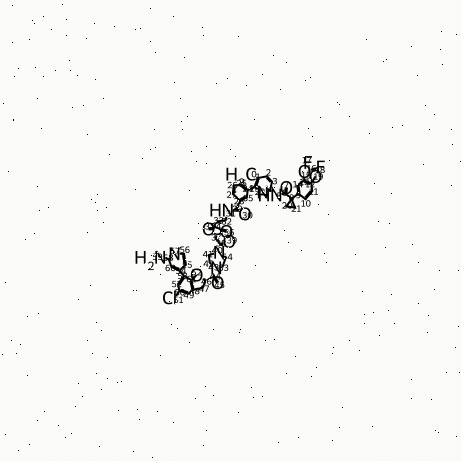 Cc1ccc(NC(=O)C2(c3ccc4c(c3)OC(F)(F)O4)CC2)nc1-c1cccc(C(=O)NCCS(=O)(=O)CC(=O)N2CCN(C(=O)[C@H]3Cc4cc(Cl)cc(-c5ccnc(N)c5)c4O3)CC2)c1